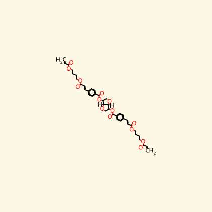 C=CC(=O)OCCCCOC(=O)/C=C/c1ccc(C(=O)OC2CO[C@@H]3[C@@H](OC(=O)c4ccc(/C=C/C(=O)OCCCCOC(=O)C=C)cc4)CO[C@H]23)cc1